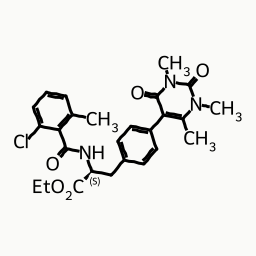 CCOC(=O)[C@H](Cc1ccc(-c2c(C)n(C)c(=O)n(C)c2=O)cc1)NC(=O)c1c(C)cccc1Cl